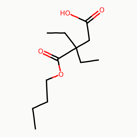 CCCCOC(=O)C(CC)(CC)CC(=O)O